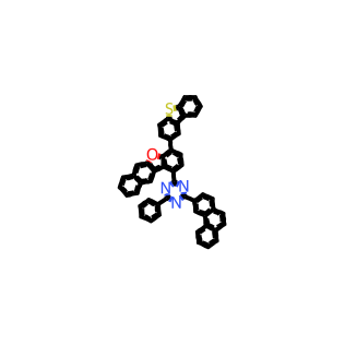 c1ccc(-c2nc(-c3ccc4ccc5ccccc5c4c3)nc(-c3ccc(-c4ccc5sc6ccccc6c5c4)c4oc5cc6ccccc6cc5c34)n2)cc1